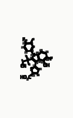 Cc1cc(-n2c(C(C)(C)CC#N)c(-c3ccc(C(=O)O)s3)c3c(O)c(F)ccc32)ccc1F